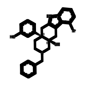 Oc1cccc([C@@]23CCN(Cc4ccccc4)C[C@@]2(O)Cc2c([nH]c4cccc(Br)c24)C3)c1